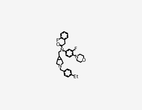 CCc1ccc(CN2CC3C(C2)C3CN(C(=O)Cc2ccccc2F)c2ccc(N3CCOCC3)c(F)c2)cc1